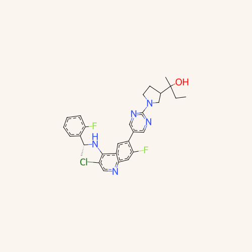 CCC(C)(O)C1CCN(c2ncc(-c3cc4c(N[C@H](C)c5ccccc5F)c(Cl)cnc4cc3F)cn2)C1